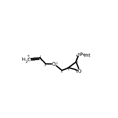 C=CCOCC1OC1CCCCC